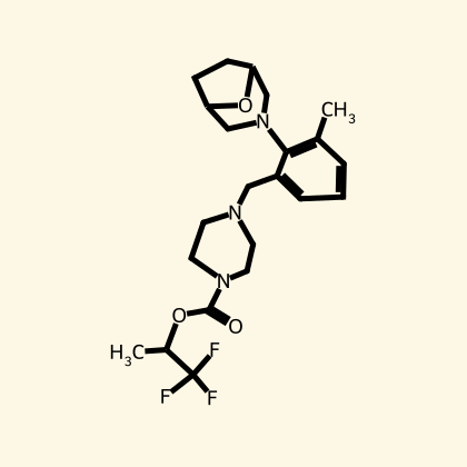 Cc1cccc(CN2CCN(C(=O)OC(C)C(F)(F)F)CC2)c1N1CC2CCC(C1)O2